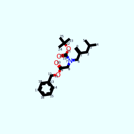 C=C(CC(C)C)CN(CC(=O)OCc1ccccc1)C(=O)OC(C)(C)C